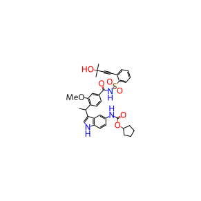 COc1cc(C(=O)NS(=O)(=O)c2ccccc2C#CC(C)(C)O)ccc1C(C)c1c[nH]c2ccc(NC(=O)OC3CCCC3)cc12